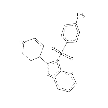 Cc1ccc(S(=O)(=O)n2c(C3C=CNCC3)cc3cccnc32)cc1